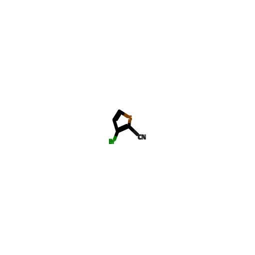 N#Cc1sccc1Br